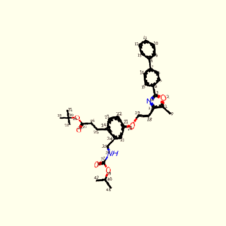 Cc1oc(-c2ccc(-c3ccccc3)cc2)nc1CCOc1ccc(CCC(=O)OC(C)(C)C)c(CNC(=O)OC(C)C)c1